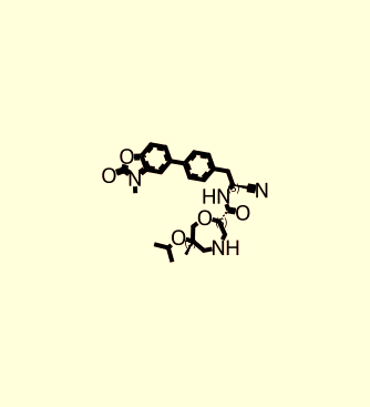 CC(C)O[C@@]1(C)CNC[C@@H](C(=O)N[C@H](C#N)Cc2ccc(-c3ccc4oc(=O)n(C)c4c3)cc2)OC1